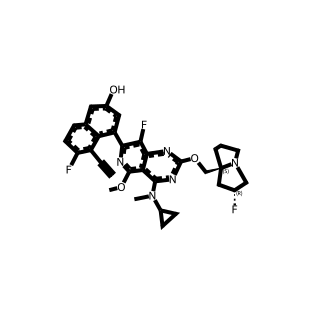 C#Cc1c(F)ccc2cc(O)cc(-c3nc(OC)c4c(N(C)C5CC5)nc(OC[C@@]56CCCN5C[C@H](F)C6)nc4c3F)c12